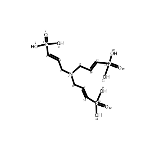 O=P(O)(O)C=CCN(CC=CP(=O)(O)O)CC=CP(=O)(O)O